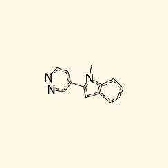 Cn1c(-c2ccnnc2)cc2ccccc21